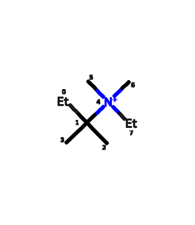 CCC(C)(C)[N+](C)(C)CC